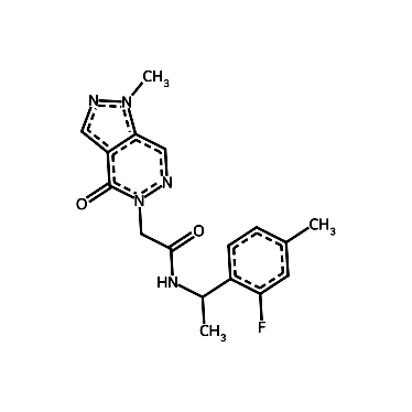 Cc1ccc(C(C)NC(=O)Cn2ncc3c(cnn3C)c2=O)c(F)c1